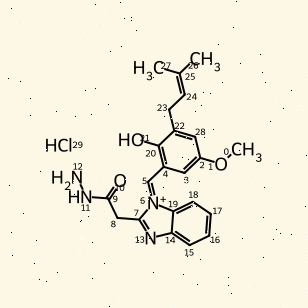 COc1cc(C=[N+]2C(CC(=O)NN)=Nc3ccccc32)c(O)c(CC=C(C)C)c1.Cl